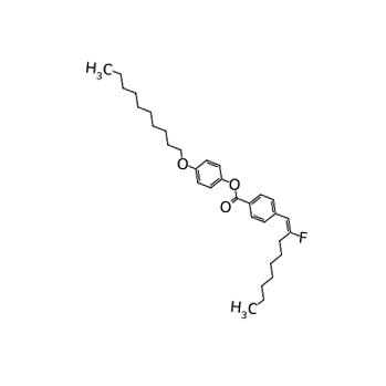 CCCCCCCCCCOc1ccc(OC(=O)c2ccc(/C=C(/F)CCCCCCC)cc2)cc1